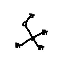 CC(C)[Si]([O][Zr])(C(C)C)C(C)C